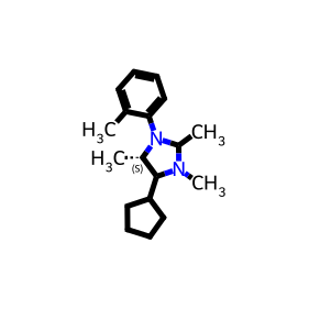 Cc1ccccc1N1C(C)N(C)C(C2CCCC2)[C@@H]1C